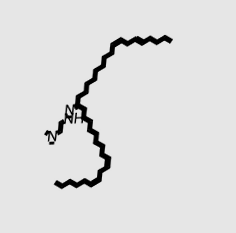 CCCC/C=C/C/C=C\CCCCCCCC/C(CCCCCCCC/C=C\C/C=C\CCCCC)=N/NCCN(C)C